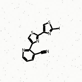 N#Cc1cccnc1-c1csc(-c2csc(I)n2)n1